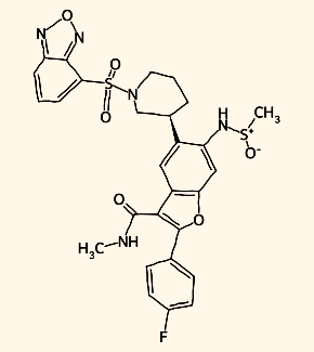 CNC(=O)c1c(-c2ccc(F)cc2)oc2cc(N[S+](C)[O-])c([C@@H]3CCCN(S(=O)(=O)c4cccc5nonc45)C3)cc12